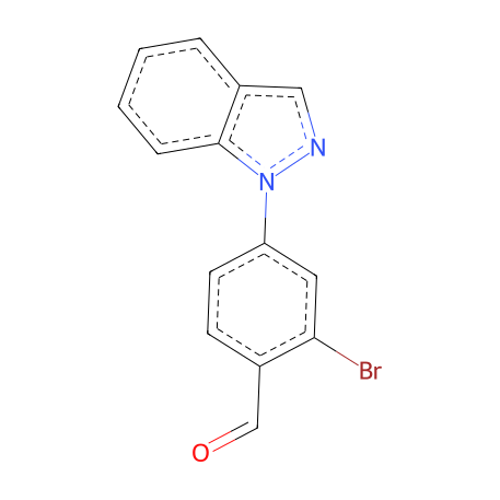 O=Cc1ccc(-n2ncc3ccccc32)cc1Br